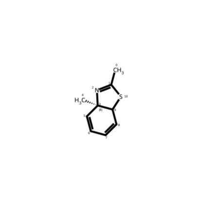 CC1=N[C@]2(C)C=CC=CC2S1